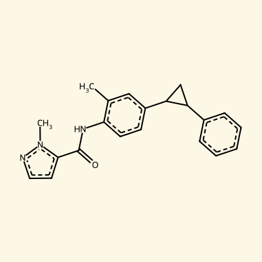 Cc1cc(C2CC2c2ccccc2)ccc1NC(=O)c1ccnn1C